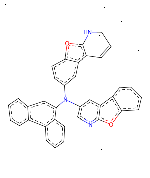 C1=Cc2c(oc3ccc(N(c4cnc5oc6ccccc6c5c4)c4cc5ccccc5c5ccccc45)cc23)NC1